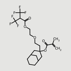 C=C(C)C(=O)OC1(CCOCCOC(=O)C(C(F)(F)F)C(F)(F)F)CC2CCCC(C2)C1